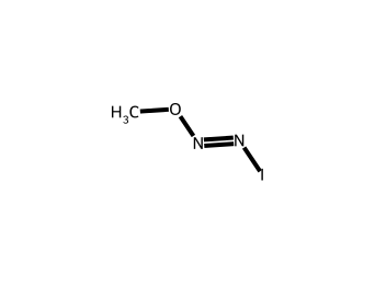 CON=NI